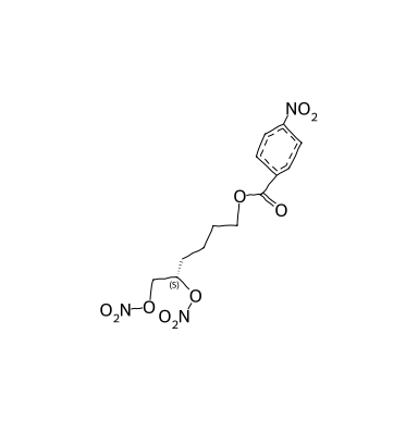 O=C(OCCCC[C@@H](CO[N+](=O)[O-])O[N+](=O)[O-])c1ccc([N+](=O)[O-])cc1